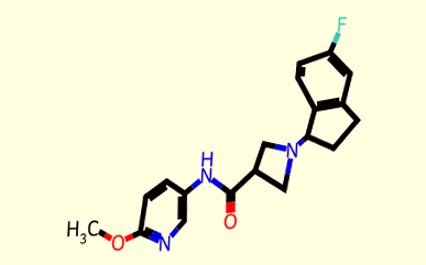 COc1ccc(NC(=O)C2CN(C3CCc4cc(F)ccc43)C2)cn1